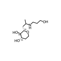 CC(C[C@@H]1OCC[C@H](O)[C@H]1O)NCCCO